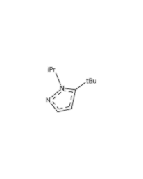 CC(C)n1nccc1C(C)(C)C